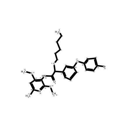 CCCCCCSC(C(=O)Nc1c(SC)cc(C)nc1SC)c1cccc(Oc2ccc(Br)cc2)c1